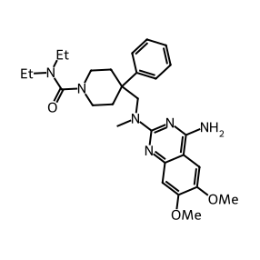 CCN(CC)C(=O)N1CCC(CN(C)c2nc(N)c3cc(OC)c(OC)cc3n2)(c2ccccc2)CC1